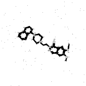 COc1cc2cnn(CCN3CCN(c4cccc5ccccc45)CC3)c(=O)c2cc1OC